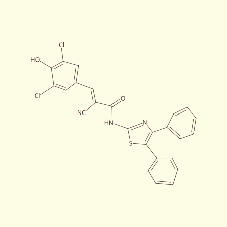 N#C/C(=C\c1cc(Cl)c(O)c(Cl)c1)C(=O)Nc1nc(-c2ccccc2)c(-c2ccccc2)s1